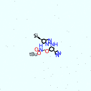 Cn1cc(-c2cc(Nc3ncc4cc(C#C[Si](C)(C)C)ccc4n3)cc(OCCNC(=O)OC(C)(C)C)c2)cn1